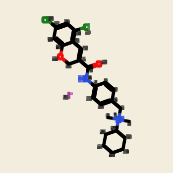 C[N+](C)(Cc1ccc(NC(=O)C2=Cc3c(Cl)cc(Cl)cc3OC2)cc1)C1CCCCC1.[I-]